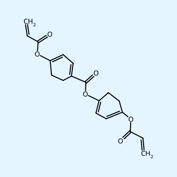 C=CC(=O)OC1=CC=C(OC(=O)C2=CC=C(OC(=O)C=C)CC2)CC1